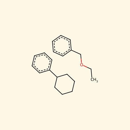 CCOCc1ccccc1.c1ccc(C2CCCCC2)cc1